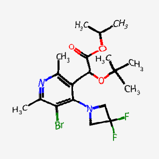 Cc1nc(C)c(C(OC(C)(C)C)C(=O)OC(C)C)c(N2CC(F)(F)C2)c1Br